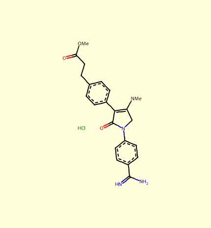 CNC1=C(c2ccc(CCC(=O)OC)cc2)C(=O)N(c2ccc(C(=N)N)cc2)C1.Cl